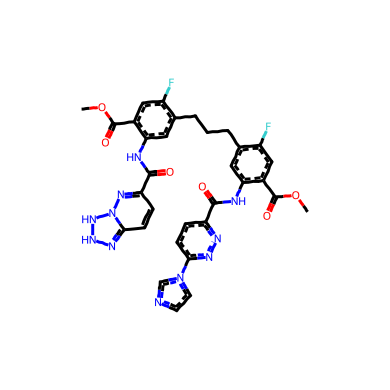 COC(=O)c1cc(F)c(CCCc2cc(NC(=O)c3ccc(-n4ccnc4)nn3)c(C(=O)OC)cc2F)cc1NC(=O)C1=NN2NNN=C2C=C1